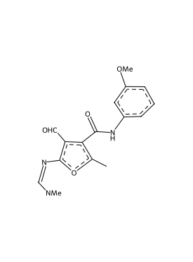 CN/C=N\c1oc(C)c(C(=O)Nc2cccc(OC)c2)c1C=O